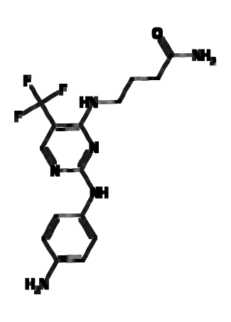 NC(=O)CCCNc1nc(Nc2ccc(N)cc2)ncc1C(F)(F)F